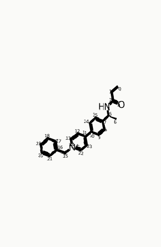 CCC(=O)N[C@@H](C)c1ccc(-c2cc[n+](Cc3ccccc3)cc2)cc1